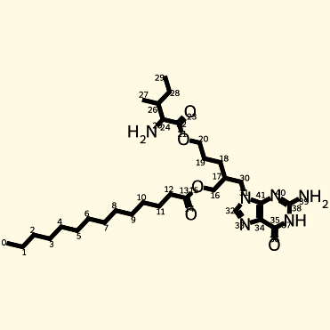 CCCCCCCCCCCCCC(=O)OCC(CCCOC(=O)C(N)C(C)CC)Cn1cnc2c(=O)[nH]c(N)nc21